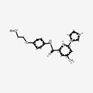 COCCOc1ccc(NC(=O)c2cc(C)cc(-n3ccnc3)n2)cc1